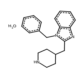 O.c1ccc(Cn2c(CC3CCNCC3)nc3ccccc32)cc1